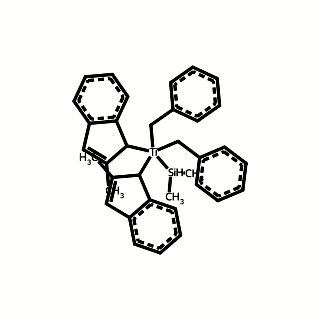 CC1=Cc2ccccc2[CH]1[Ti]([CH2]c1ccccc1)([CH2]c1ccccc1)([CH]1C(C)=Cc2ccccc21)[SiH](C)C